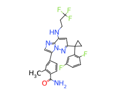 Cc1cc(-c2cnc3c(NCCC(F)(F)F)cc(C4(c5cc(F)ccc5F)CC4)nn23)ccc1C(N)=O